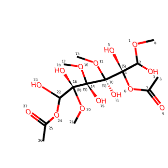 COC(O)[C@](O)(OC(C)=O)[C@](O)(OC)[C@@](O)(OC)[C@](O)(OC)C(O)OC(C)=O